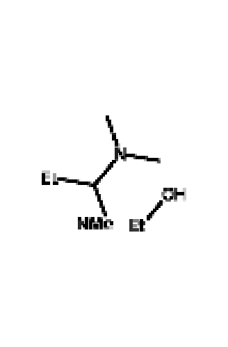 CCC(NC)N(C)C.CCO